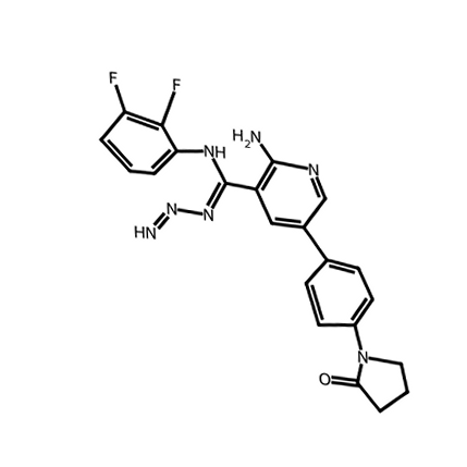 N=N/N=C(\Nc1cccc(F)c1F)c1cc(-c2ccc(N3CCCC3=O)cc2)cnc1N